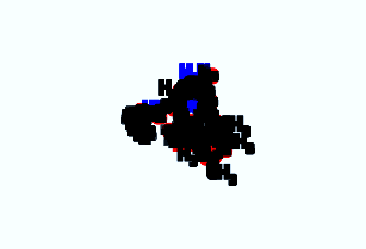 CCCC1O[C@@H]2C[C@H]3[C@@H]4CCC5=CC(=O)C=C[C@]5(C)[C@H]4[C@@H](O)C[C@]3(C)[C@]2(C(=O)COC(=O)N(C)CCN(C)C(=O)OCc2ccc(NC(=O)[C@H](CCCNC(N)=O)NC(=O)[C@@H](NC(=O)[C@@H](CCCCNC(=O)CCC(=O)N3Cc4ccccc4C#Cc4ccccc43)NC(=O)CCCCCN3C(=O)C=CC3=O)C(C)C)cc2)O1